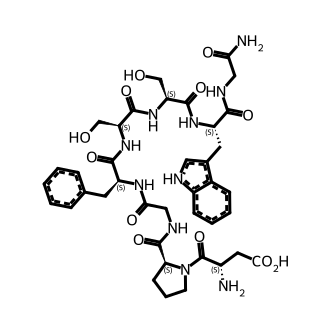 NC(=O)CNC(=O)[C@H](Cc1c[nH]c2ccccc12)NC(=O)[C@H](CO)NC(=O)[C@H](CO)NC(=O)[C@H](Cc1ccccc1)NC(=O)CNC(=O)[C@@H]1CCCN1C(=O)[C@@H](N)CC(=O)O